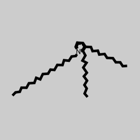 CCCCCCCCCCCCCCCCCCC[n+]1cccc(CCCCCCCCCCC)c1CCCCCCCCCCC